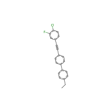 CCc1ccc(-c2ccc(C#Cc3ccc(Cl)c(F)c3)cc2)cc1